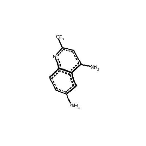 Nc1ccc2nc(C(F)(F)F)cc(N)c2c1